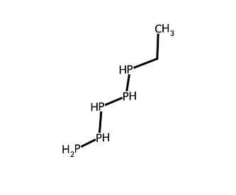 CCPPPPP